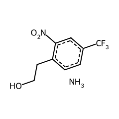 N.O=[N+]([O-])c1cc(C(F)(F)F)ccc1CCO